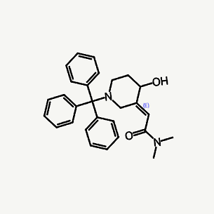 CN(C)C(=O)/C=C1\CN(C(c2ccccc2)(c2ccccc2)c2ccccc2)CCC1O